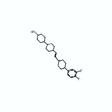 CCCC1CCC(C2CCC(/C=C/C3CCC(c4ccc(F)c(F)c4)CC3)CC2)CC1